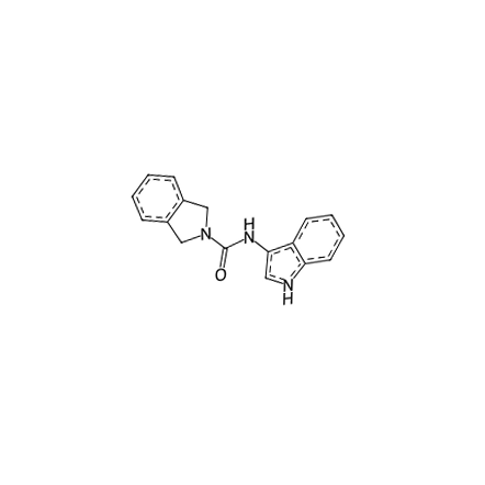 O=C(Nc1c[nH]c2ccccc12)N1Cc2ccccc2C1